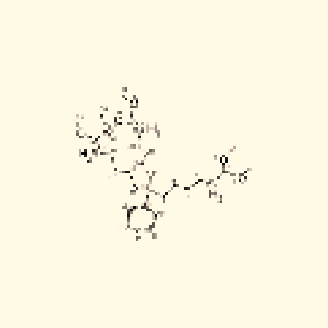 COC(OC)[SiH2]CCCCC(CCCC[SiH2]C(OC)OC)(CCCC[SiH2]C(OC)OC)c1ccccc1